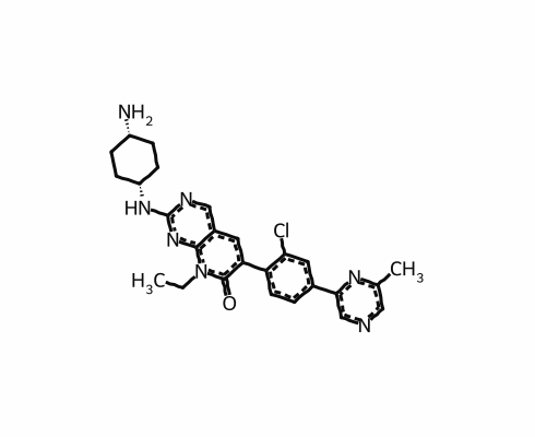 CCn1c(=O)c(-c2ccc(-c3cncc(C)n3)cc2Cl)cc2cnc(N[C@H]3CC[C@@H](N)CC3)nc21